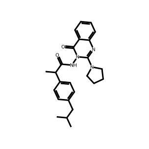 CC(C)Cc1ccc(C(C)C(=O)Nn2c(N3CCCC3)nc3ccccc3c2=O)cc1